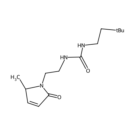 CC1C=CC(=O)N1CCNC(=O)NCCC(C)(C)C